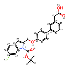 CC(C)(C)OC(=O)n1c(COc2ccc(-c3cccc(CC(=O)O)c3)cc2)cc2ccc(F)cc21